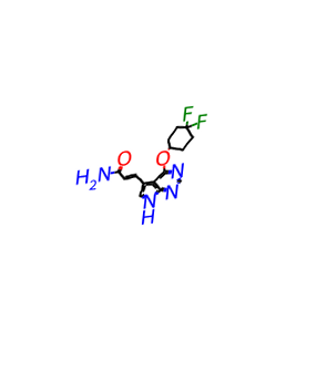 NC(=O)C=Cc1c[nH]c2ncnc(OC3CCC(F)(F)CC3)c12